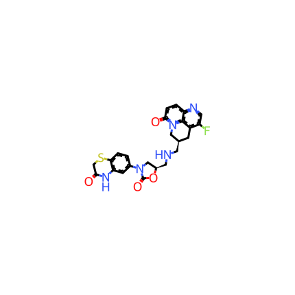 O=C1CSc2ccc(N3C[C@@H](CNC[C@@H]4Cc5c(F)cnc6ccc(=O)n(c56)C4)OC3=O)cc2N1